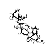 CN(c1cc(C(F)(F)F)nc2ccc(Cl)cc12)[C@H]1CC[C@@H](NC(=O)Cc2c[nH]c3cccc(Cl)c23)CC1